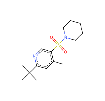 Cc1cc(C(C)(C)C)ncc1S(=O)(=O)N1CCCCC1